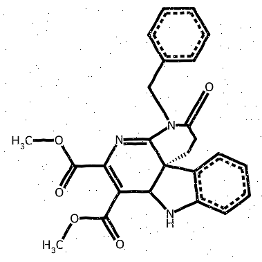 COC(=O)C1=C(C(=O)OC)C2Nc3ccccc3[C@@]23CCC(=O)N(Cc2ccccc2)C3=N1